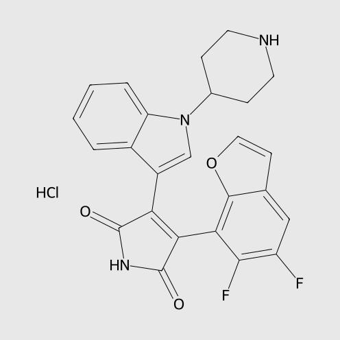 Cl.O=C1NC(=O)C(c2c(F)c(F)cc3ccoc23)=C1c1cn(C2CCNCC2)c2ccccc12